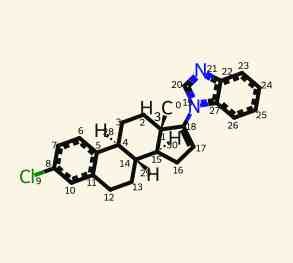 C[C@]12CC[C@@H]3c4ccc(Cl)cc4CC[C@H]3[C@@H]1CC=C2n1cnc2ccccc21